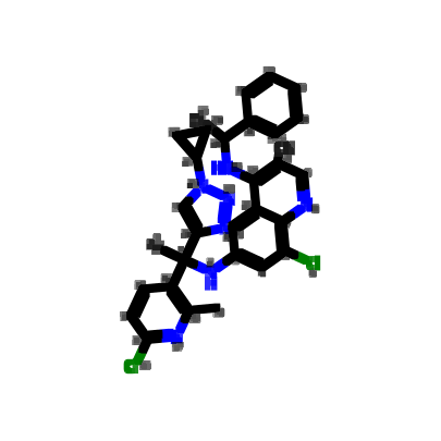 [2H]C(Nc1cc(Cl)c2ncc(C#N)c(NC(CC)c3ccccc3)c2c1)(c1cn(C2CC2)nn1)c1ccc(Cl)nc1C